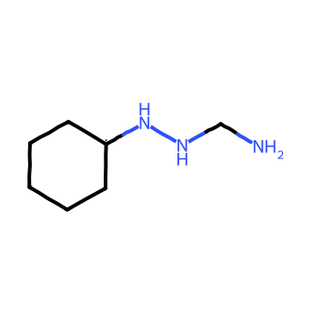 NCNN[C]1CCCCC1